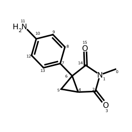 CN1C(=O)C2CC2(c2ccc(N)cc2)C1=O